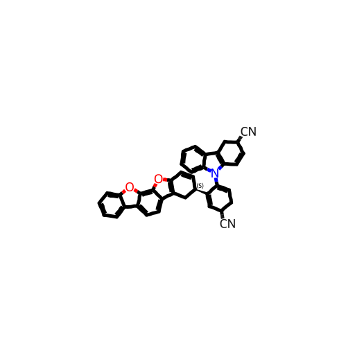 N#CC1C=C([C@@H]2C=Cc3oc4c(ccc5c6ccccc6oc54)c3C2)C(n2c3c(c4ccccc42)CC(C#N)C=C3)=CC1